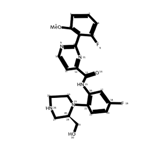 COc1cccc(F)c1-c1nccc(C(=O)Nc2cc(F)ccc2N2CCNC[C@@H]2CO)n1